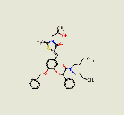 C=C(O)Cn1c(=C)s/c(=C\c2ccc(OCc3ccccc3)c(OC(C(=O)N(CCCC)CCCC)c3ccccc3)c2)c1=O